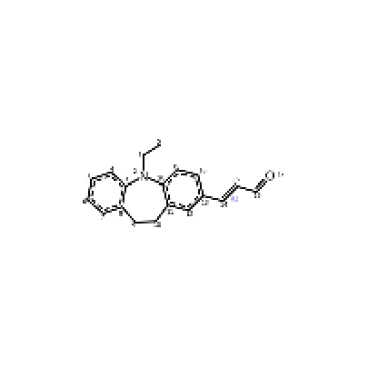 CCN1c2ccccc2CCc2cc(/C=C/C=O)ccc21